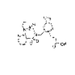 Cc1ccc(CCC(=O)O)c(CN2C[C@H]3CCCN3c3ncccc3S2(=O)=O)c1